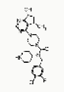 C[C@@H]1C[C@@H](O)c2ncnc(N3CCN(C(=O)N(Cc4ccc(Cl)c(F)c4)C4CCNCC4)CC3)c21